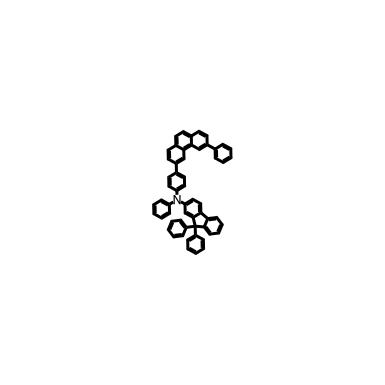 c1ccc(-c2ccc3ccc4ccc(-c5ccc(N(c6ccccc6)c6ccc7c(c6)C(c6ccccc6)(c6ccccc6)c6ccccc6-7)cc5)cc4c3c2)cc1